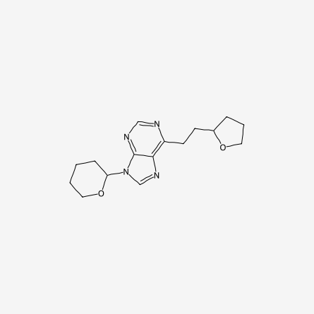 c1nc(CCC2CCCO2)c2ncn(C3CCCCO3)c2n1